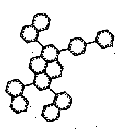 c1cncc(-c2ccc(-c3cc(-c4cccc5ccccc45)c4ccc5c(-c6cccc7ccccc67)cc(-c6cccc7ccccc67)c6ccc3c4c65)cc2)c1